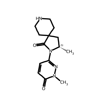 C[C@H]1CC2(CCNCC2)C(=O)N1c1ccc(=O)n(C)n1